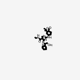 CCNC(=O)c1cnc(Nc2ccc3c(c2)C(C)(C)OC3=O)nc1NC(CO)c1ccccc1